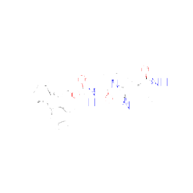 CC(C)(C)N(C(=O)CNC(=O)OCC1c2ccccc2-c2ccccc21)C(C#N)C[C@@H]1CCCNC1=O